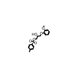 COc1ccccc1OCC(O)COS(=O)(=O)c1ccc(C)cc1